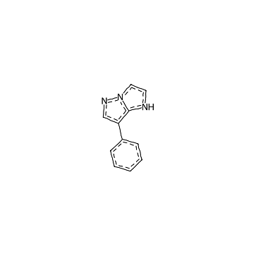 c1ccc(-c2cnn3cc[nH]c23)cc1